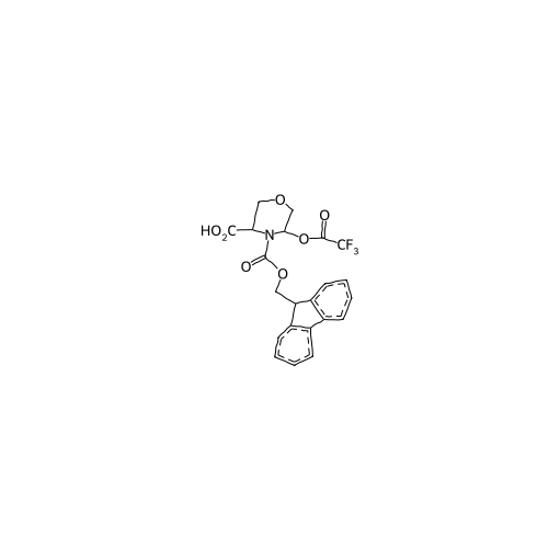 O=C(O)C1COCC(OC(=O)C(F)(F)F)N1C(=O)OCC1c2ccccc2-c2ccccc21